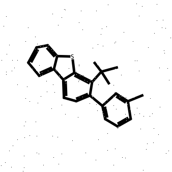 Cc1cccc(-c2ccc3c(sc4ccccc43)c2C(C)(C)C)c1